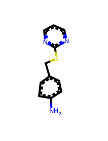 Nc1ccc(CSc2ncccn2)cc1